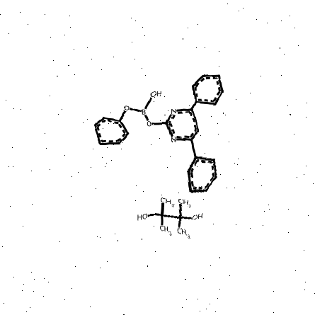 CC(C)(O)C(C)(C)O.OB(Oc1ccccc1)Oc1nc(-c2ccccc2)cc(-c2ccccc2)n1